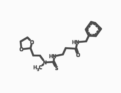 CN(CCC1OCCO1)C(=S)NCCC(=O)NCc1ccccc1